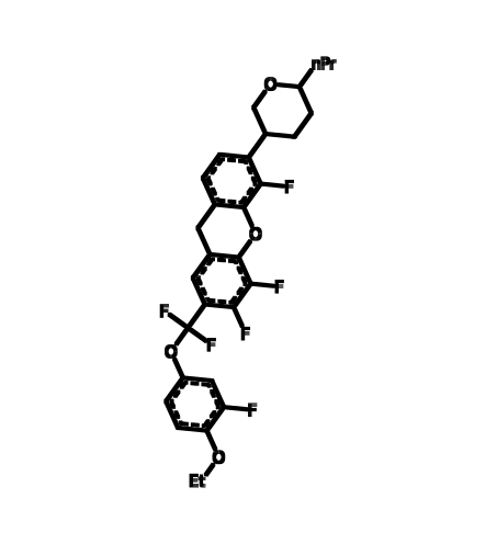 CCCC1CCC(c2ccc3c(c2F)Oc2c(cc(C(F)(F)Oc4ccc(OCC)c(F)c4)c(F)c2F)C3)CO1